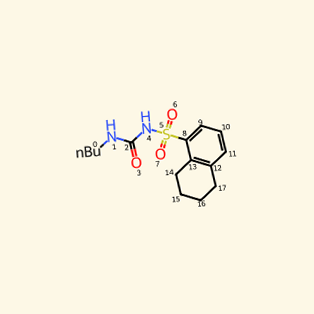 CCCCNC(=O)NS(=O)(=O)c1cccc2c1CCCC2